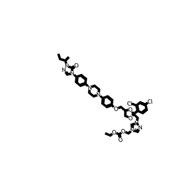 CCOC(=O)OC[n+]1cnn(CC2(c3ccc(Cl)cc3Cl)OCC(COc3ccc(N4CCN(c5ccc(-n6cnn(C(C)CC)c6=O)cc5)CC4)cc3)O2)c1